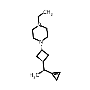 CCN1CCN([C@H]2C[C@H]([C@H](C)C3=CC3)C2)CC1